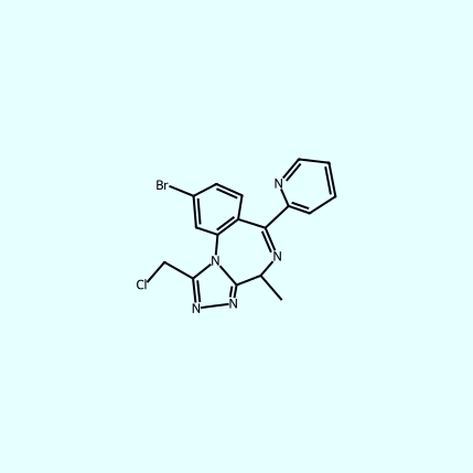 CC1N=C(c2ccccn2)c2ccc(Br)cc2-n2c(CCl)nnc21